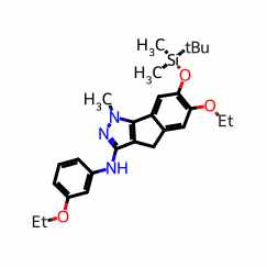 CCOc1cccc(Nc2nn(C)c3c2Cc2cc(OCC)c(O[Si](C)(C)C(C)(C)C)cc2-3)c1